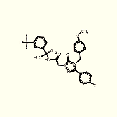 COc1ccc(Cn2c(-c3ccc(Cl)cc3)nn(CC(=O)NC(C)(C)c3cccc(C(F)(F)F)c3)c2=O)cc1